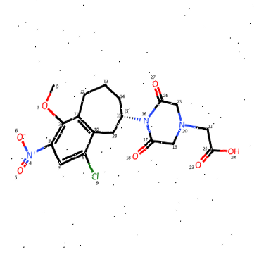 COc1c([N+](=O)[O-])cc(Cl)c2c1CCC[C@H](N1C(=O)CN(CC(=O)O)CC1=O)C2